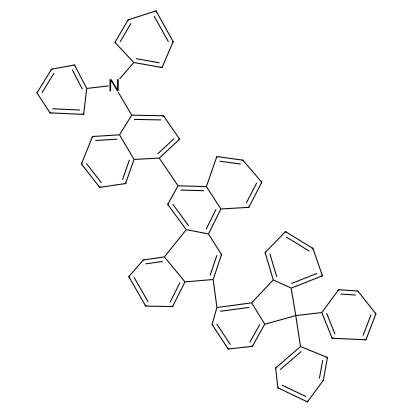 c1ccc(N(c2ccccc2)c2ccc(-c3cc4c5ccccc5c(-c5cccc6c5-c5ccccc5C6(c5ccccc5)c5ccccc5)cc4c4ccccc34)c3ccccc23)cc1